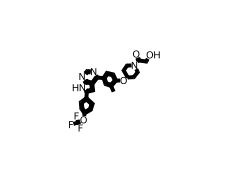 Cc1cc(-c2ncnc3[nH]c(-c4ccc(OC(F)(F)F)cc4)cc23)ccc1OC1CCN(C(=O)CO)CC1